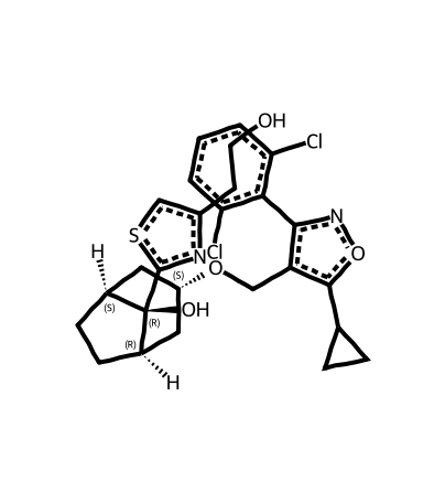 OCCc1csc([C@]2(O)[C@@H]3CC[C@H]2C[C@H](OCc2c(-c4c(Cl)cccc4Cl)noc2C2CC2)C3)n1